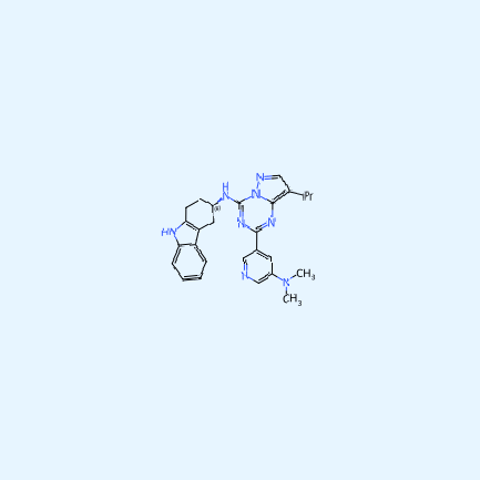 CC(C)c1cnn2c(N[C@@H]3CCc4[nH]c5ccccc5c4C3)nc(-c3cncc(N(C)C)c3)nc12